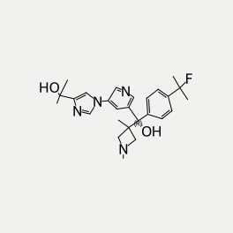 CN1CC(C)([C@](O)(c2ccc(C(C)(C)F)cc2)c2cncc(-n3cnc(C(C)(C)O)c3)c2)C1